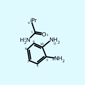 CC(C)C(N)=O.Nc1ccccc1N